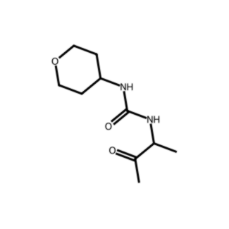 CC(=O)C(C)NC(=O)NC1CCOCC1